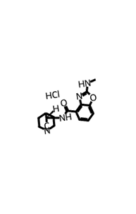 CNc1nc2c(C(=O)N[C@@H]3CN4CCC3CC4)cccc2o1.Cl